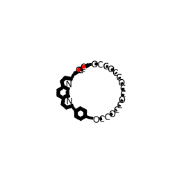 c1cc2ccc1OCCOCCOCCOCCOCCOc1ccc(cc1)-c1ccc3ccc4ccc-2nc4c3n1